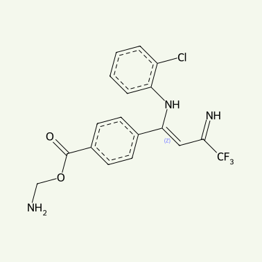 N=C(/C=C(\Nc1ccccc1Cl)c1ccc(C(=O)OCN)cc1)C(F)(F)F